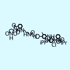 Cc1cc(Nc2ncc(Cl)c(Nc3ccccc3S(=O)(=O)C(C)C)n2)c(OC(C)C)cc1C1CCN(CC(=O)NCCCNc2cccc3c2C(=O)N(C2CCC(=O)NC2=O)C3=O)CC1